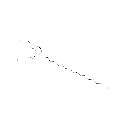 CCCCCCCCCCCCCCCCCN1C=CN(CCC)C1CCC